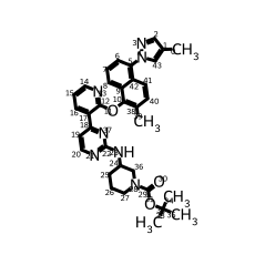 Cc1cnn(-c2cccc3c(Oc4ncccc4-c4ccnc(NC5CCCN(C(=O)OC(C)(C)C)C5)n4)c(C)ccc23)c1